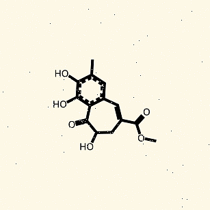 COC(=O)C1=Cc2cc(C)c(O)c(O)c2C(=O)C(O)C1